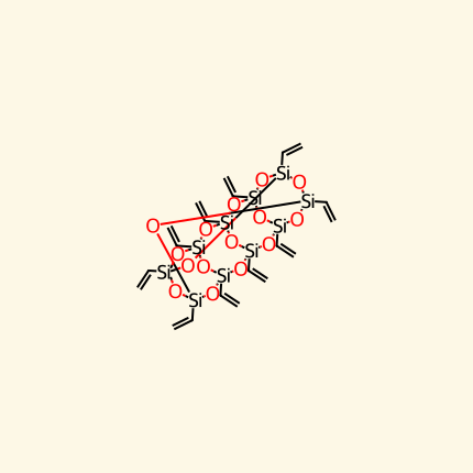 C=C[Si]12O[Si]3(C=C)O[Si]4(C=C)O[Si](C=C)(O1)O[Si]1(C=C)O[Si](C=C)(O4)O[Si]4(C=C)O[Si](C=C)(O[Si](C=C)(O[Si](C=C)(O3)O4)O2)O1